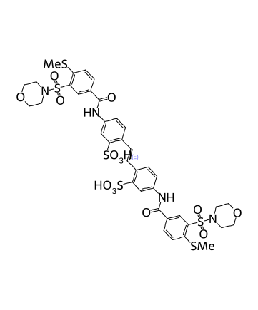 CSc1ccc(C(=O)Nc2ccc(/C=C/c3ccc(NC(=O)c4ccc(SC)c(S(=O)(=O)N5CCOCC5)c4)cc3S(=O)(=O)O)c(S(=O)(=O)O)c2)cc1S(=O)(=O)N1CCOCC1